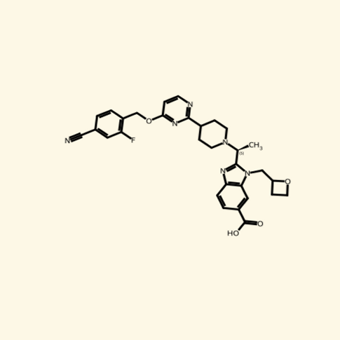 C[C@@H](c1nc2ccc(C(=O)O)cc2n1CC1CCO1)N1CCC(c2nccc(OCc3ccc(C#N)cc3F)n2)CC1